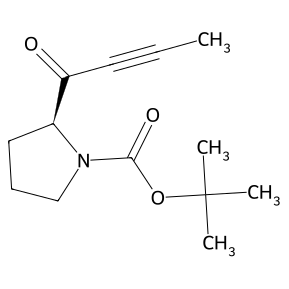 CC#CC(=O)[C@@H]1CCCN1C(=O)OC(C)(C)C